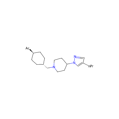 CCCc1cnn(C2CCN(C[C@H]3CC[C@H](C(C)=O)CC3)CC2)c1